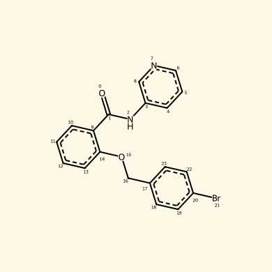 O=C(Nc1cccnc1)c1ccccc1OCc1ccc(Br)cc1